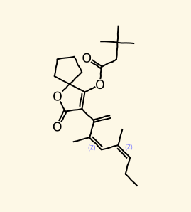 C=C(C1=C(OC(=O)CC(C)(C)C)C2(CCCC2)OC1=O)/C(C)=C\C(C)=C/CC